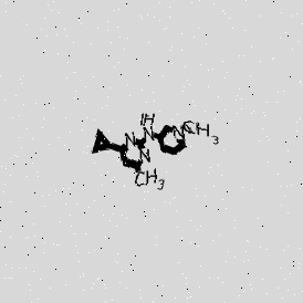 Cc1cc(C2CC2)nc(Nc2ccc[n+](C)c2)n1.[I-]